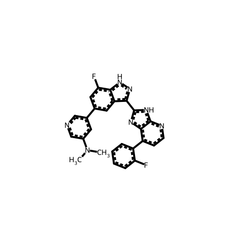 CN(C)c1cncc(-c2cc(F)c3[nH]nc(-c4nc5c(-c6ccccc6F)ccnc5[nH]4)c3c2)c1